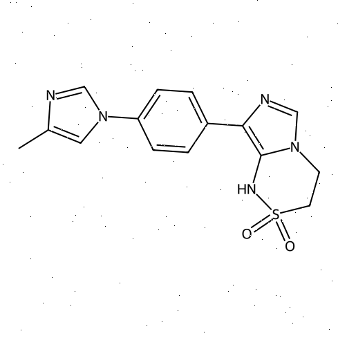 Cc1cn(-c2ccc(-c3ncn4c3NS(=O)(=O)CC4)cc2)cn1